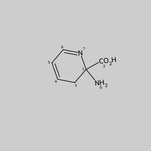 NC1(C(=O)O)CC=CC=N1